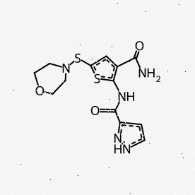 NC(=O)c1cc(SN2CCOCC2)sc1NC(=O)c1cc[nH]n1